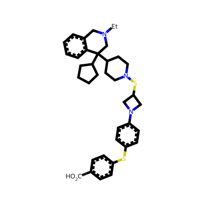 CCN1Cc2ccccc2C(C2CCCC2)(C2CCN(SC3CN(c4ccc(Sc5ccc(C(=O)O)cc5)cc4)C3)CC2)C1